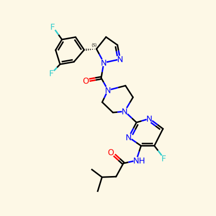 CC(C)CC(=O)Nc1nc(N2CCN(C(=O)N3N=CC[C@H]3c3cc(F)cc(F)c3)CC2)ncc1F